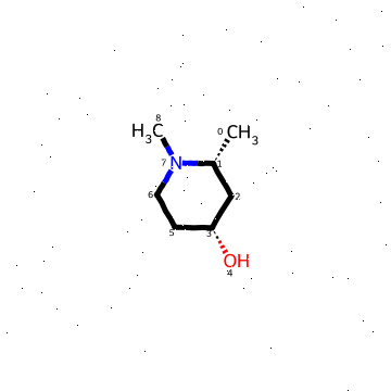 C[C@@H]1C[C@H](O)CCN1C